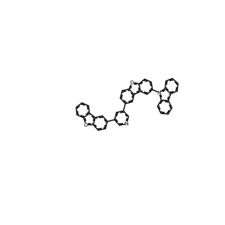 c1ccc2c(c1)oc1ccc(-c3cncc(-c4ccc5oc6ccc(-n7c8ccccc8c8ccccc87)cc6c5c4)c3)cc12